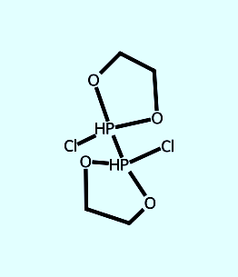 Cl[PH]1([PH]2(Cl)OCCO2)OCCO1